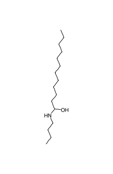 CCCCCCCCCCCC(O)NCCCC